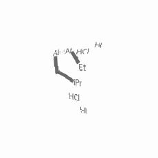 CC(C)[CH2][Al].C[CH2][Al].Cl.Cl.I.I